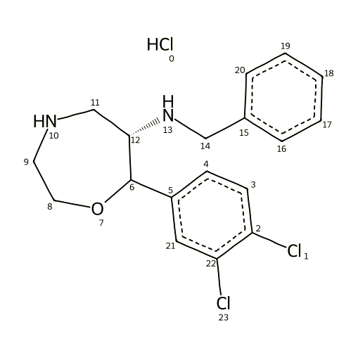 Cl.Clc1ccc(C2OCCNC[C@@H]2NCc2ccccc2)cc1Cl